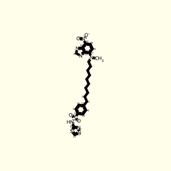 CN(CCCCCCCCCCc1ccc(S(=O)(=O)Nc2nncs2)cc1)c1ccc([N+](=O)[O-])c2c1=NCN=2